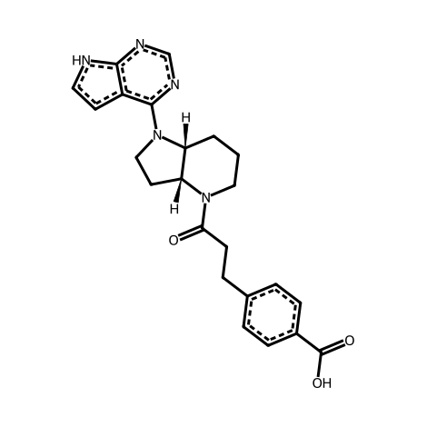 O=C(O)c1ccc(CCC(=O)N2CCC[C@@H]3[C@H]2CCN3c2ncnc3[nH]ccc23)cc1